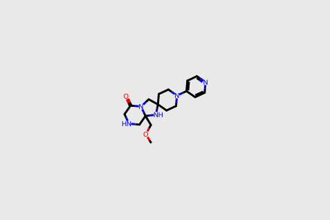 COCC12CNCC(=O)N1CC1(CCN(c3ccncc3)CC1)N2